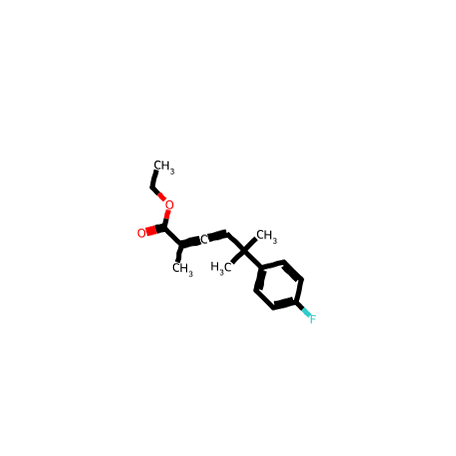 CCOC(=O)C(C)=C=CC(C)(C)c1ccc(F)cc1